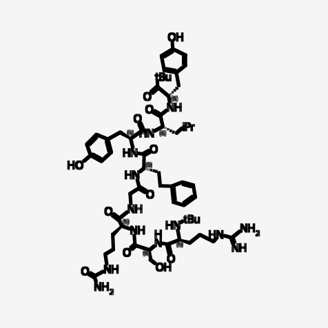 CC(C)C[C@H](NC(=O)[C@H](Cc1ccc(O)cc1)NC(=O)[C@H](CCc1ccccc1)NC(=O)CNC(=O)[C@H](CCCNC(N)=O)NC(=O)[C@H](CO)NC(=O)[C@H](CCCNC(=N)N)NC(C)(C)C)C(=O)N[C@@H](Cc1ccc(O)cc1)C(=O)C(C)(C)C